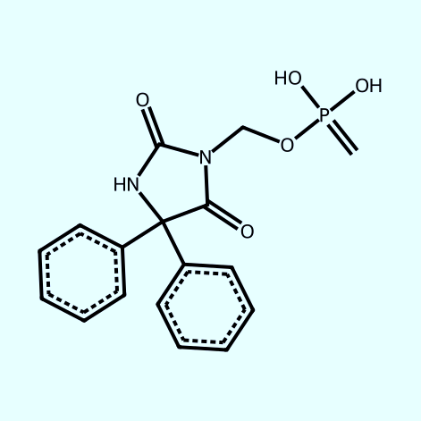 C=P(O)(O)OCN1C(=O)NC(c2ccccc2)(c2ccccc2)C1=O